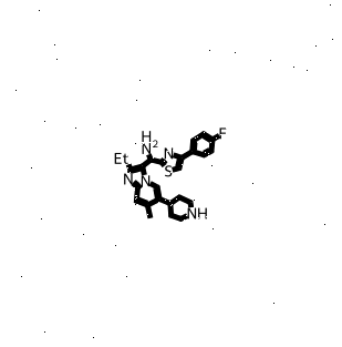 CCc1nc2cc(C)c(C3CCNCC3)cn2c1C(N)c1nc(-c2ccc(F)cc2)cs1